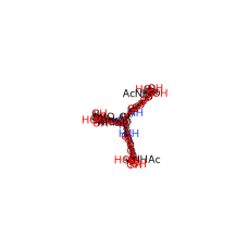 CC(=O)NC1[C@@H](O)[C@@H](O)[C@@H](CO)C[C@H]1OCCOCCOCCOCC(=O)NCCCC[C@H](NC(=O)COCCOCCOCO[C@@H]1C[C@H](CO)[C@H](O)[C@H](O)[C@H]1NC(C)=O)C(=O)N[C@@H](CCCCNC(=O)COCCOCCOCCO[C@@H]1C[C@H](CO)[C@H](O)[C@H](O)[C@H]1NC(C)=O)C(=O)O